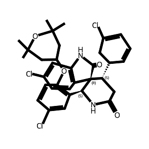 CC1(C)CC(Oc2ccc(Cl)cc2[C@@H]2NC(=O)C[C@@H](C3C=CC=C(Cl)C3)[C@]23C(=O)Nc2cc(Cl)ccc23)CC(C)(C)O1